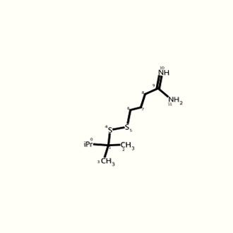 CC(C)C(C)(C)SSCCCC(=N)N